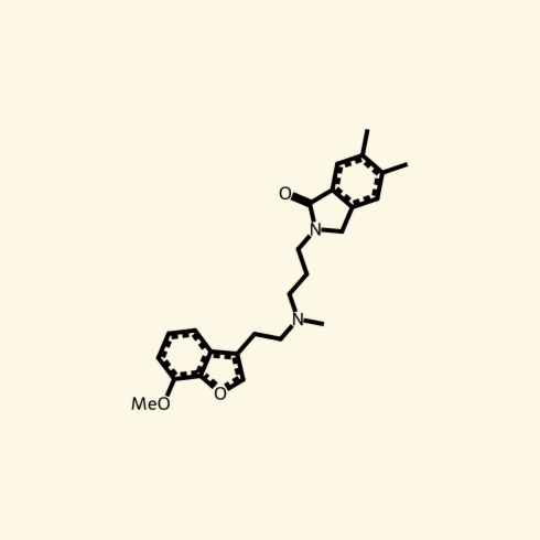 COc1cccc2c(CCN(C)CCCN3Cc4cc(C)c(C)cc4C3=O)coc12